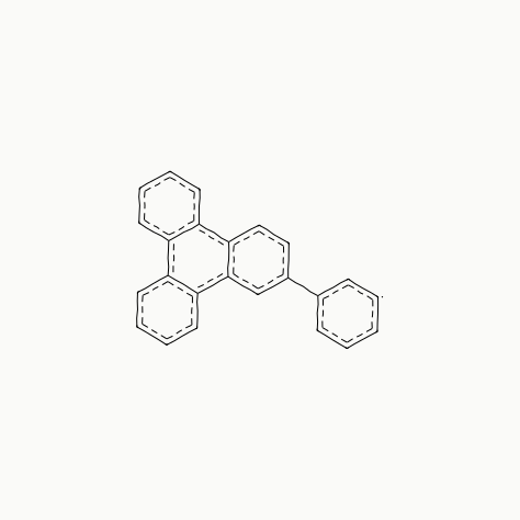 [c]1cccc(-c2ccc3c4ccccc4c4ccccc4c3c2)c1